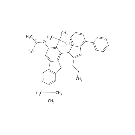 CCCC1=Cc2c(-c3ccccc3)cccc2C1c1c2c(c[c]([Zr][SiH](C)C)c1C(C)(C)C)-c1ccc(C(C)(C)C)cc1C2